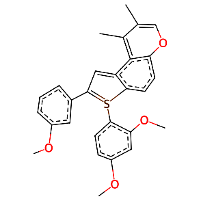 COc1cccc(C2=S(c3ccc(OC)cc3OC)c3ccc4c(c3=C2)=C(C)C(C)=CO4)c1